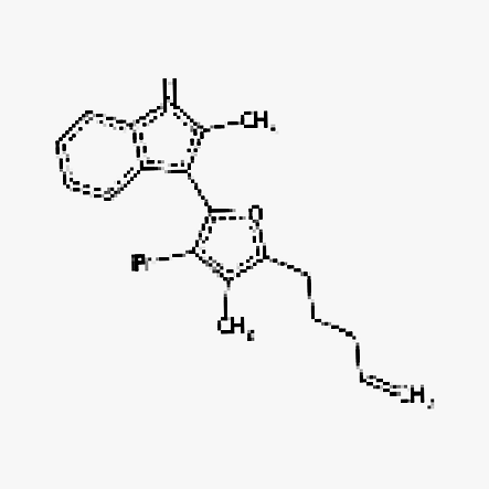 C=CCCCc1oc(-c2c(C)[nH]c3ccccc23)c(C(C)C)c1C